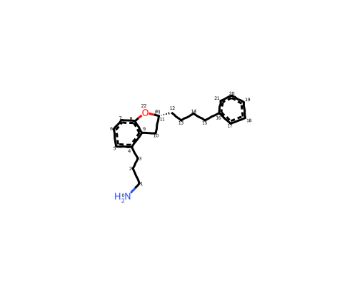 NCCCc1cccc2c1C[C@@H](CCCCc1ccccc1)O2